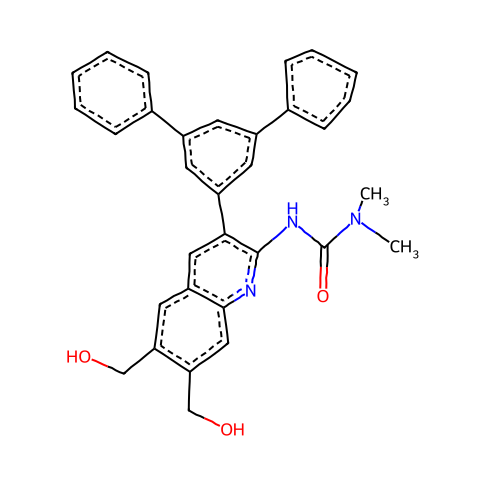 CN(C)C(=O)Nc1nc2cc(CO)c(CO)cc2cc1-c1cc(-c2ccccc2)cc(-c2ccccc2)c1